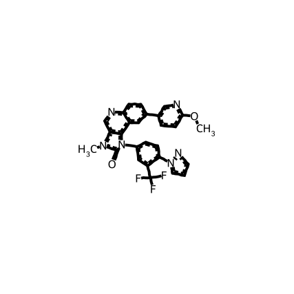 COc1ccc(-c2ccc3ncc4c(c3c2)n(-c2ccc(-n3cccn3)c(C(F)(F)F)c2)c(=O)n4C)cn1